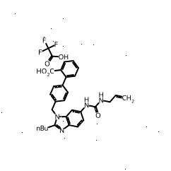 C=CCNC(=O)Nc1ccc2nc(CCCC)n(Cc3ccc(-c4ccccc4C(=O)O)cc3)c2c1.O=C(O)C(F)(F)F